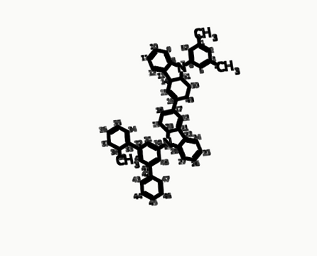 Cc1cc(C)cc(N2c3ccccc3C3C=C(C4=CCC5C(=C4)c4ccccc4N5c4cc(C5=CC=CCC5C)cc(-c5ccccc5)c4)CCC32)c1